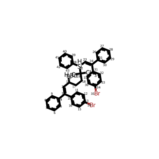 CCCCC(C=C(c1ccccc1)c1ccc(Br)cc1)CCC(C)(C)[SiH](C=C(c1ccccc1)c1ccc(Br)cc1)c1ccccc1